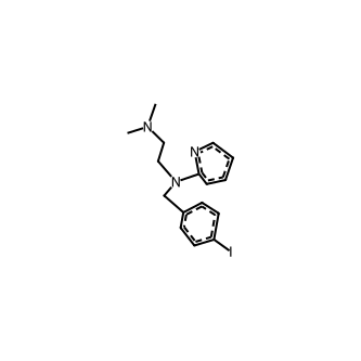 CN(C)CCN(Cc1ccc(I)cc1)c1ccccn1